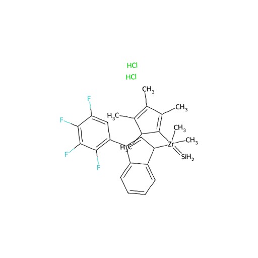 CC1=C(C)C(C)[C]([Zr]([CH3])([CH3])(=[SiH2])[CH]2C=C(c3cc(F)c(F)c(F)c3F)c3ccccc32)=C1C.Cl.Cl